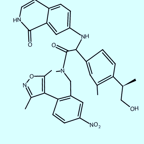 Cc1cc(C(Nc2ccc3cc[nH]c(=O)c3c2)C(=O)N(C)Cc2cc([N+](=O)[O-])ccc2-c2c(C)noc2C)ccc1[C@@H](C)CO